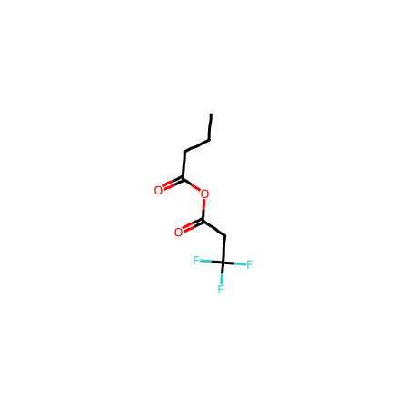 CCCC(=O)OC(=O)CC(F)(F)F